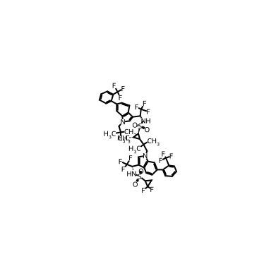 C[C@H]1C(C(C)(C)Cn2cc([C@H](NS(=O)(=O)C3CC3(F)F)C(F)(F)F)c3ccc(-c4ccccc4C(F)(F)F)cc32)[C@@H]1S(=O)(=O)N[C@@H](c1cn(CC(C)(C)C)c2cc(-c3ccccc3C(F)(F)F)ccc12)C(F)(F)F